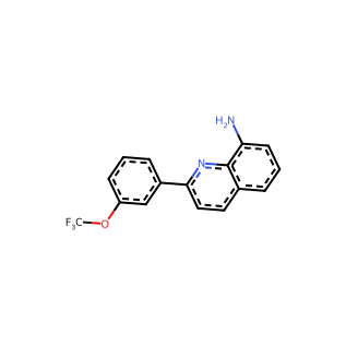 Nc1cccc2ccc(-c3cccc(OC(F)(F)F)c3)nc12